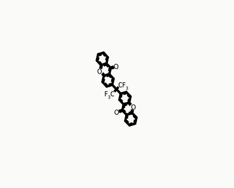 O=c1c2ccccc2oc2ccc(C(c3ccc4oc5ccccc5c(=O)c4c3)(C(F)(F)F)C(F)(F)F)cc12